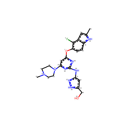 Cc1cc2c(F)c(Oc3cc(N4CCN(C)CC4)nc(Nc4cc(CO)[nH]n4)n3)ccc2[nH]1